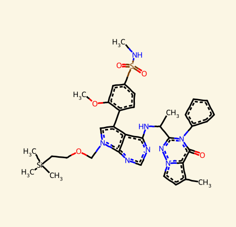 CNS(=O)(=O)c1ccc(-c2cn(COCC[Si](C)(C)C)c3ncnc(NC(C)c4nn5ccc(C)c5c(=O)n4-c4ccccc4)c23)c(OC)c1